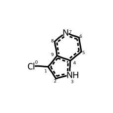 Clc1c[nH]c2ccncc12